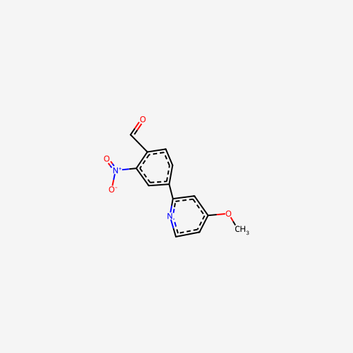 COc1ccnc(-c2ccc(C=O)c([N+](=O)[O-])c2)c1